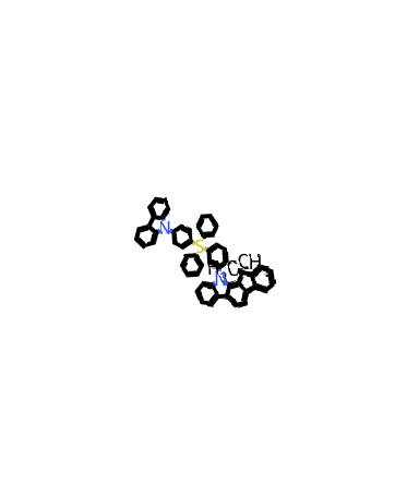 CC1(C)c2ccccc2-c2ccc3c4ccccc4n(-c4cccc(S(c5ccccc5)(c5ccccc5)c5ccc(-n6c7ccccc7c7ccccc76)cc5)c4)c3c21